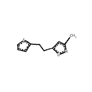 Cc1cc(CCc2cccs2)on1